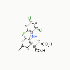 Cc1ccc(Nc2c(F)cc(Cl)cc2Cl)c(C(CC(=O)O)C(=O)O)c1